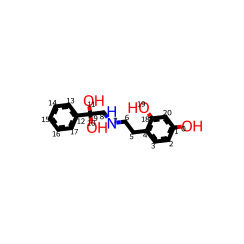 Oc1ccc(CCNCC(O)(O)c2ccccc2)c(O)c1